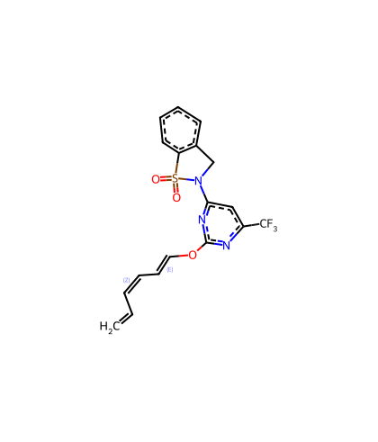 C=C/C=C\C=C\Oc1nc(N2Cc3ccccc3S2(=O)=O)cc(C(F)(F)F)n1